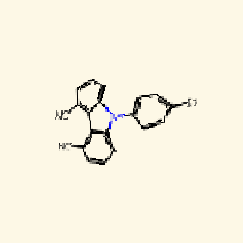 CCc1ccc(-n2c3cccc(C#N)c3c3c(C#N)cccc32)cc1